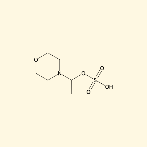 CC(OS(=O)(=O)O)N1CCOCC1